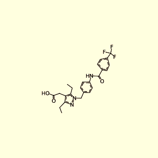 CCc1nn(Cc2ccc(NC(=O)c3ccc(C(F)(F)F)cc3)cc2)c(CC)c1CC(=O)O